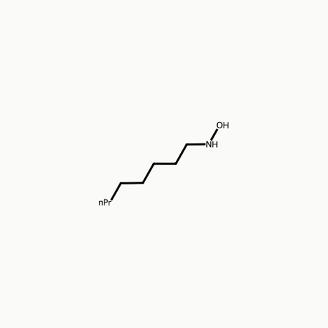 CCCCCCCCNO